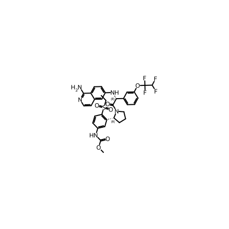 CCS(=O)(=O)c1ccc(NC(=O)OC)cc1[C@H]1CCCN1C(=O)[C@H](Nc1ccc2c(N)nccc2c1)c1cccc(OC(F)(F)C(F)F)c1